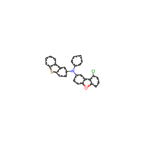 Clc1cccc2oc3ccc(N(c4ccccc4)c4ccc5sc6ccccc6c5c4)cc3c12